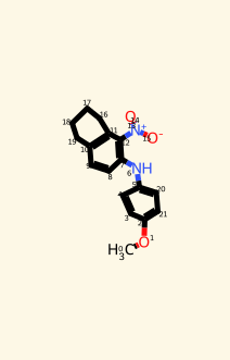 COc1ccc(Nc2ccc3c(c2[N+](=O)[O-])CCCC3)cc1